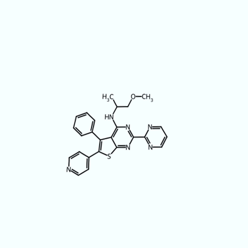 COCC(C)Nc1nc(-c2ncccn2)nc2sc(-c3ccncc3)c(-c3ccccc3)c12